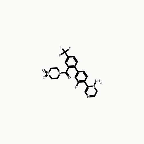 NN1CC=NC=C1c1ccc(-c2ccc(C(F)(F)F)cc2C(=O)N2CCS(=O)(=O)CC2)cc1F